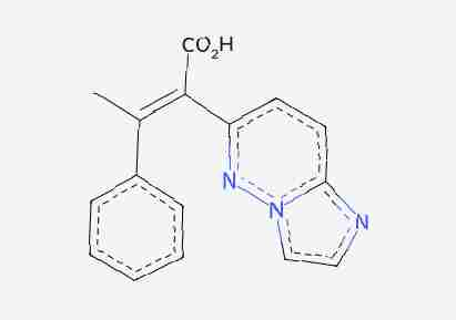 CC(=C(C(=O)O)c1ccc2nccn2n1)c1ccccc1